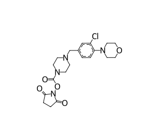 O=C(ON1C(=O)CCC1=O)N1CCN(Cc2ccc(N3CCOCC3)c(Cl)c2)CC1